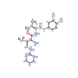 CC/C(C)=C(/NCc1ccc(Cl)c(Cl)c1)NC(=O)C(=N)/C(C)=C\Nc1ncccn1